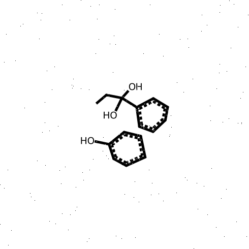 CCC(O)(O)c1ccccc1.Oc1ccccc1